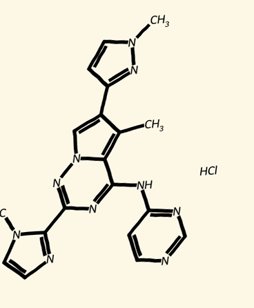 Cc1c(-c2ccn(C)n2)cn2nc(-c3nccn3C)nc(Nc3ccncn3)c12.Cl